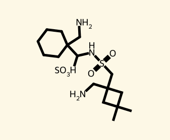 CC1(C)CC(CN)(CS(=O)(=O)NC(C2(CN)CCCCC2)S(=O)(=O)O)C1